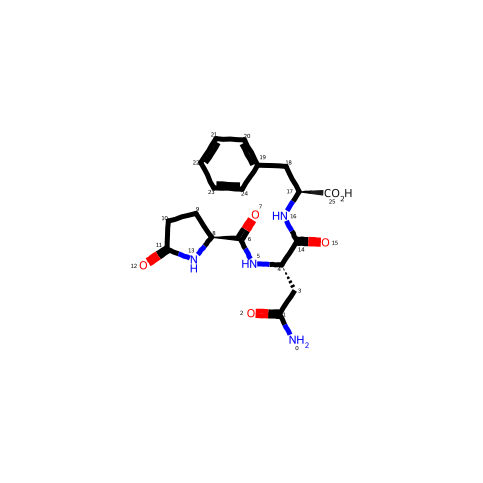 NC(=O)C[C@H](NC(=O)[C@@H]1CCC(=O)N1)C(=O)N[C@@H](Cc1ccccc1)C(=O)O